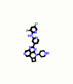 Fc1cc(Cl)cnc1Nc1cc(-c2nc3c4c(cncc4n2)C2CCC2N3C2CCNCC2)ccn1